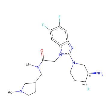 CCN(CC1CCN(C(C)=O)C1)C(=O)Cn1c(N2CC[C@@H](F)[C@H](N)C2)nc2cc(F)c(F)cc21